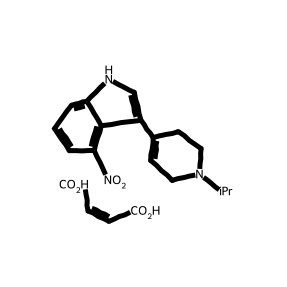 CC(C)N1CC=C(c2c[nH]c3cccc([N+](=O)[O-])c23)CC1.O=C(O)/C=C\C(=O)O